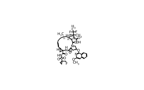 COc1cc2ccccc2c(O[C@@H]2C[C@H]3C(=O)N[C@]4(C(=O)NS(=O)(=O)C5(CF)CC5)C[C@H]4C=CCC[C@H](C)C[C@@H](C)[C@H](N(C(=O)O)C(C)(C)C(C)(F)F)C(=O)N3C2)n1